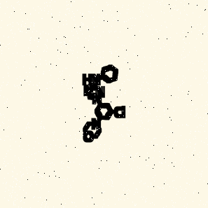 Clc1cc(N2CCOCC2)cc(-n2cnc(Nc3ccccc3)n2)c1